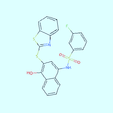 O=S(=O)(Nc1cc(Sc2nc3ccccc3s2)c(O)c2ccccc12)c1cccc(F)c1